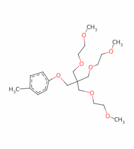 COCCOCC(COCCOC)(COCCOC)COc1ccc(C)cc1